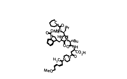 C=C(/C=C\C=C/COC)N1CCN(C(=O)C[C@@H](NC(=O)[C@@H](CCCC)NC(=O)[C@@H](CC2CN(C(=O)OC)c3ccccc32)NC(=O)[C@H](CC(C)C)NC(=O)N2CCCCCC2)C(=O)O)CC1